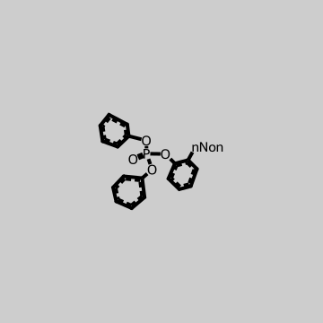 CCCCCCCCCc1ccccc1OP(=O)(Oc1ccccc1)Oc1ccccc1